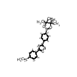 CSc1ccc(-c2nc(-c3ccc(B4OC(C)(C)C(C)(C)O4)cc3)no2)cc1